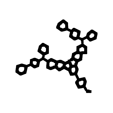 CC(C)(C)c1ccc(-c2cc3c4cc5ccc(N(c6ccccc6)c6ccc(-c7ccccc7)cc6)cc5cc4n4c5cc6cc(N(c7ccccc7)c7ccc(-c8ccccc8)cc7)ccc6cc5c(c2)c34)cc1